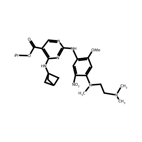 COc1cc(N(C)CCN(C)C)c([N+](=O)[O-])cc1Nc1ncc(C(=O)OC(C)C)c(NC23CC(C2)C3)n1